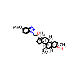 COC[C@@H]1C[C@H]2C[C@](C)(O)CC[C@]2(C)C2CC[C@]3(C)[C@@H](C(=O)Cn4nnc5cc(OC)ccc54)CC[C@H]3[C@@H]21